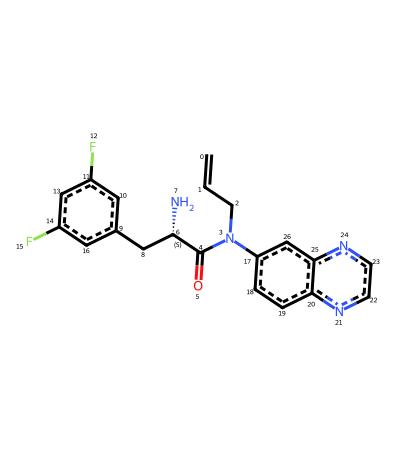 C=CCN(C(=O)[C@@H](N)Cc1cc(F)cc(F)c1)c1ccc2nccnc2c1